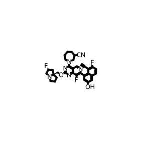 C#Cc1c(F)ccc2cc(O)cc(-c3ncc4c(N5CCCCC(C#N)C5)nc(OC[C@@]56CCCN5C[C@H](F)C6)nc4c3F)c12